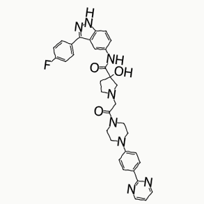 O=C(CN1CCC(O)(C(=O)Nc2ccc3[nH]nc(-c4ccc(F)cc4)c3c2)C1)N1CCN(c2ccc(-c3ncccn3)cc2)CC1